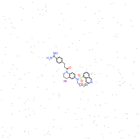 CCOC(=O)CN(c1ccc2c(c1)CCCN2C(=O)CCc1ccc(C(=N)N)cc1)S(=O)(=O)c1cccc2cnccc12.I